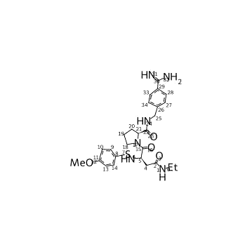 CCNC(=O)C[C@@H](NSc1ccc(OC)cc1)C(=O)N1CCC[C@H]1C(=O)NCc1ccc(C(=N)N)cc1